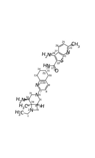 CCN1C[C@@H]2CN(c3ccc4c(n3)CC[C@H](NC(=O)c3sc5nc(C)ccc5c3N)C4)C[C@H](N)C21C